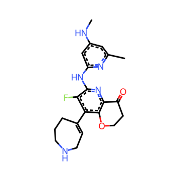 CNc1cc(C)nc(Nc2nc3c(c(C4=CCNCCC4)c2F)OCCC3=O)c1